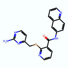 Nc1nccc(CSc2ncccc2C(=O)Nc2ccc3ncccc3c2)n1